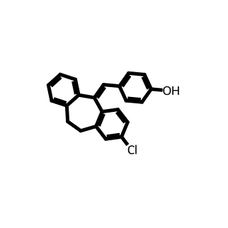 Oc1ccc(C=C2c3ccccc3CCc3cc(Cl)ccc32)cc1